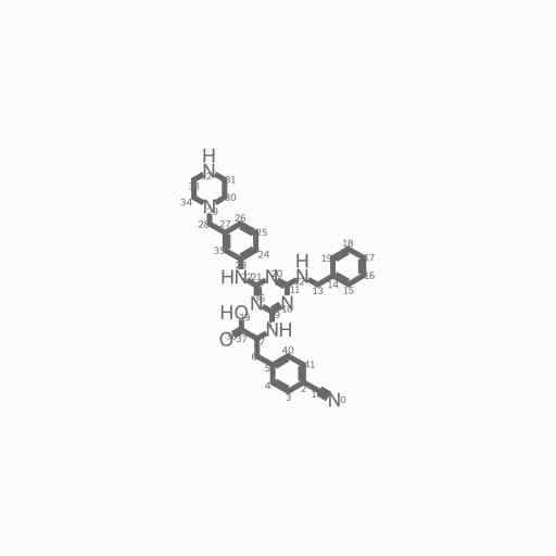 N#Cc1ccc(CC(Nc2nc(NCc3ccccc3)nc(Nc3cccc(CN4CCNCC4)c3)n2)C(=O)O)cc1